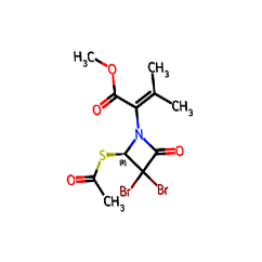 COC(=O)C(=C(C)C)N1C(=O)C(Br)(Br)[C@H]1SC(C)=O